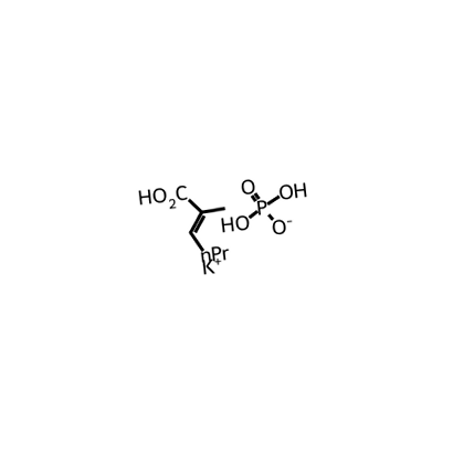 CCCC=C(C)C(=O)O.O=P([O-])(O)O.[K+]